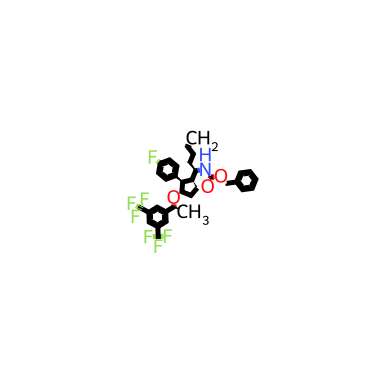 C=CCC[C@@H](NC(=O)OCc1ccccc1)[C@@H]1CC[C@H](O[C@H](C)c2cc(C(F)(F)F)cc(C(F)(F)F)c2)[C@H]1c1ccc(F)cc1